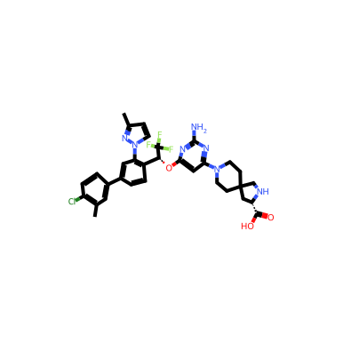 Cc1ccn(-c2cc(-c3ccc(Cl)c(C)c3)ccc2[C@@H](Oc2cc(N3CCC4(CC3)CN[C@H](C(=O)O)C4)nc(N)n2)C(F)(F)F)n1